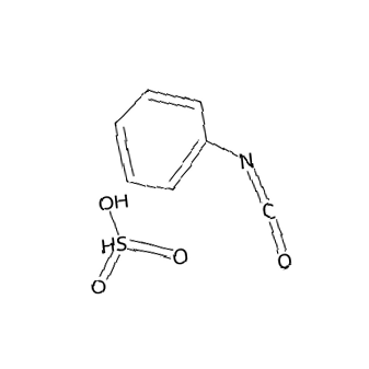 O=C=Nc1ccccc1.O=[SH](=O)O